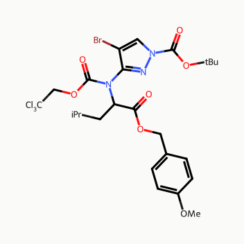 COc1ccc(COC(=O)C(CC(C)C)N(C(=O)OCC(Cl)(Cl)Cl)c2nn(C(=O)OC(C)(C)C)cc2Br)cc1